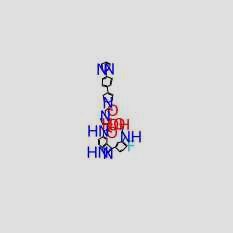 O=C(CN1CC[C@@](O)(C(=O)Nc2ccc3[nH]nc(-c4ccc(F)c(NCCO)c4)c3c2)C1)N1CC=C(c2ccc(-c3ncccn3)cc2)CC1